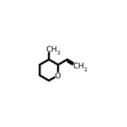 C=CC1OCCCC1C